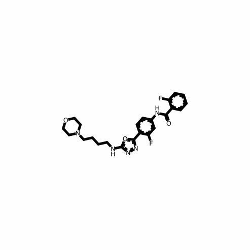 O=C(Nc1ccc(-c2nnc(NCCCCN3CCOCC3)o2)c(F)c1)c1ccccc1F